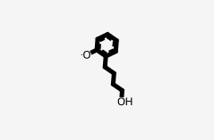 [O]c1ccccc1CCCCO